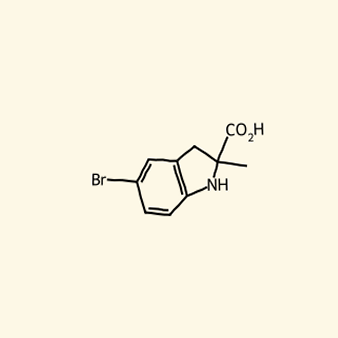 CC1(C(=O)O)Cc2cc(Br)ccc2N1